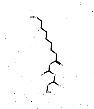 CCCCCCCCCCCCCCCCCC(=O)OC(C)OC(C)OCCCC